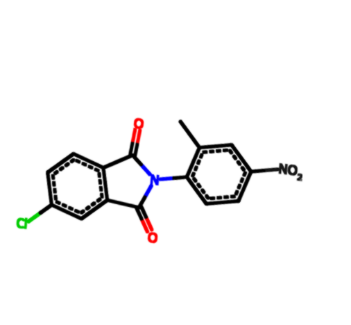 Cc1cc([N+](=O)[O-])ccc1N1C(=O)c2ccc(Cl)cc2C1=O